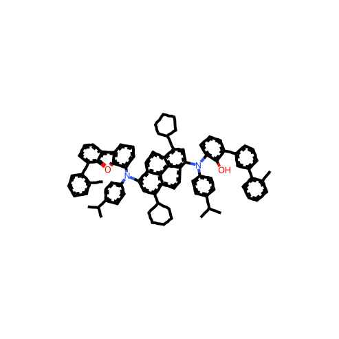 Cc1ccccc1-c1cccc(-c2cccc(N(c3ccc(C(C)C)cc3)c3cc(C4CCCCC4)c4ccc5c(N(c6ccc(C(C)C)cc6)c6cccc7c6oc6c(-c8ccccc8C)cccc67)cc(C6CCCCC6)c6ccc3c4c65)c2O)c1